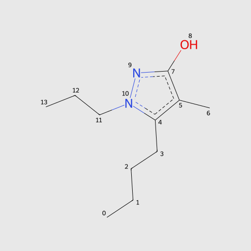 CCCCc1c(C)c(O)nn1CCC